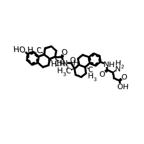 C[C@]1(C(=O)NC(=O)[C@@]2(C)CCC[C@]3(C)c4cc(NC(=O)[C@@H](N)CC(=O)O)ccc4CC[C@@H]23)CCC[C@]2(C)c3cc(O)ccc3CC[C@@H]12